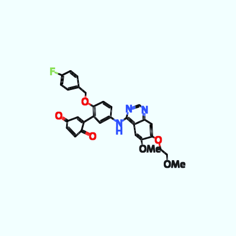 COCCOc1cc2ncnc(Nc3ccc(OCc4ccc(F)cc4)c(C4=CC(=O)C=CC4=O)c3)c2cc1OC